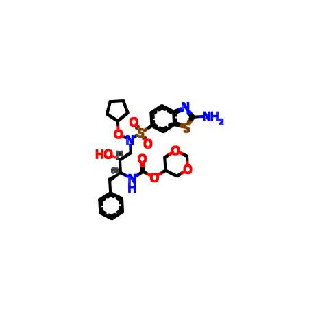 Nc1nc2ccc(S(=O)(=O)N(C[C@@H](O)[C@H](Cc3ccccc3)NC(=O)OC3COCOC3)OC3CCCC3)cc2s1